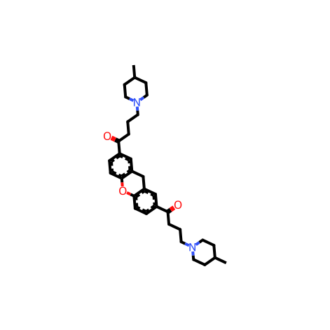 CC1CCN(CCCC(=O)c2ccc3c(c2)Cc2cc(C(=O)CCCN4CCC(C)CC4)ccc2O3)CC1